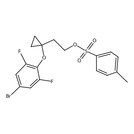 Cc1ccc(S(=O)(=O)OCCC2(Oc3c(F)cc(Br)cc3F)CC2)cc1